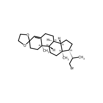 CC(CBr)[C@H]1CC[C@H]2[C@@H]3CCC4=CC5(CC[C@]4(C)[C@H]3CC[C@]12C)OCCO5